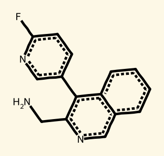 NCc1ncc2ccccc2c1-c1ccc(F)nc1